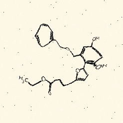 CCOC(=O)CCc1ccc(-c2c(O)cc(O)cc2COCc2ccccc2)o1